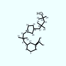 CC(C)=C1CCCC(CC(C)(C)CN2CCC(CC(C)(C)CC(C)(C)O)C2)C1